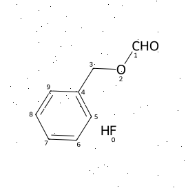 F.O=COCc1ccccc1